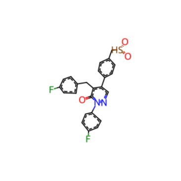 O=c1c(Cc2ccc(F)cc2)c(-c2ccc(C[SH](=O)=O)cc2)cnn1-c1ccc(F)cc1